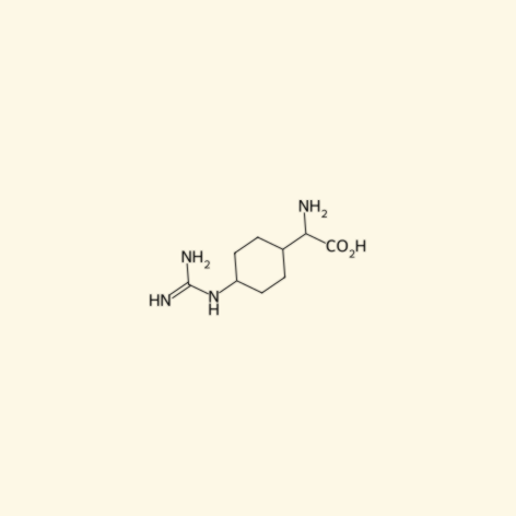 N=C(N)NC1CCC(C(N)C(=O)O)CC1